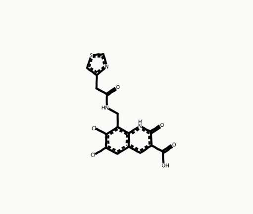 O=C(Cc1cscn1)NCc1c(Cl)c(Cl)cc2cc(C(=O)O)c(=O)[nH]c12